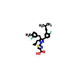 Cc1ccc(Cc2c(-c3ccc(F)c(C#CC(C)C)c3)nn(-c3nc(C(=O)O)cs3)c2CC2CC2)cc1F